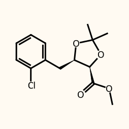 COC(=O)[C@@H]1OC(C)(C)O[C@@H]1Cc1ccccc1Cl